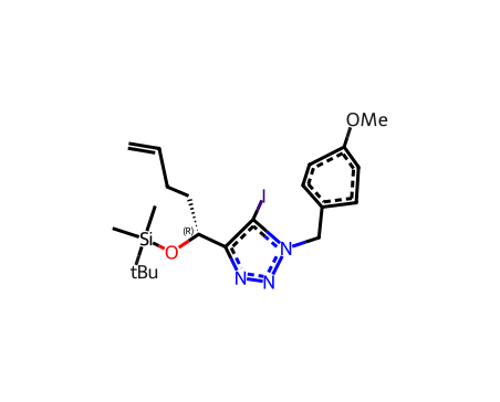 C=CCC[C@@H](O[Si](C)(C)C(C)(C)C)c1nnn(Cc2ccc(OC)cc2)c1I